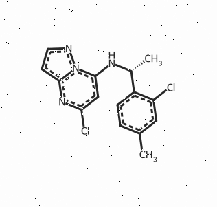 Cc1ccc([C@@H](C)Nc2cc(Cl)nc3ccnn23)c(Cl)c1